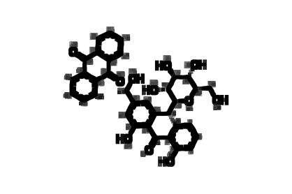 O=C1c2c(O)cccc2[C@@H]([C@@H]2O[C@H](CO)[C@@H](O)[C@H](O)[C@H]2O)c2cc(CO)cc(O)c21.O=C1c2ccccc2C(=O)c2ccccc21